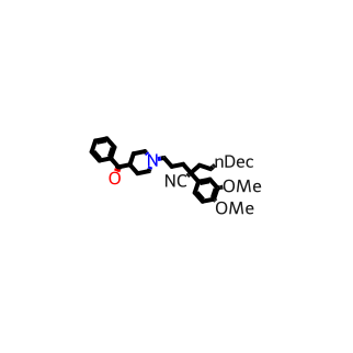 CCCCCCCCCCCCC(C#N)(CCCN1CCC(C(=O)c2ccccc2)CC1)c1ccc(OC)c(OC)c1